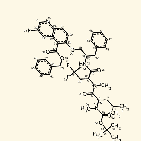 CC(C)C[C@@H](C(=O)N(C)[C@@H](CC(F)(F)F)C(=O)N[C@@H](COc1ccc2ncc(F)cc2c1C(=O)OCc1ccccc1)Cc1ccccc1)N(C)C(=O)OC(C)(C)C